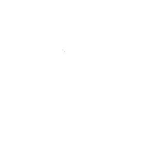 O=C(O)c1ncc(COCc2ccccc2)cc1Cl